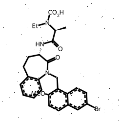 CCN(C(=O)O)[C@@H](C)C(=O)N[C@H]1CCc2ccccc2N(Cc2c(OC)ccc3cc(Br)ccc23)C1=O